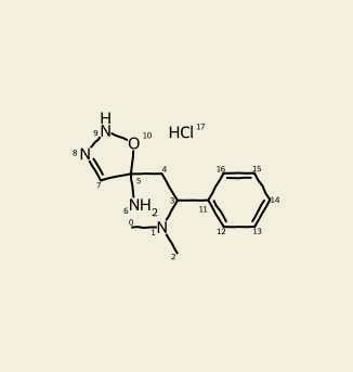 CN(C)C(CC1(N)C=NNO1)c1ccccc1.Cl